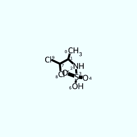 CC(NS(=O)(=O)O)C(Cl)Cl